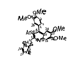 COc1ccc(-c2c(C(C)=O)c(CSc3nccn3C)nc3cc(OC)c(OC)cc23)cc1OC